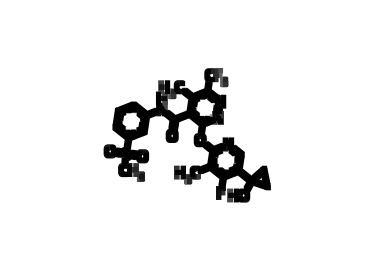 Cc1c(Oc2nnc(C(F)(F)F)c(C)c2C(=O)Nc2cccc(S(C)(=O)=O)c2)ncc(C2(O)CC2)c1F